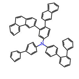 c1ccc(-c2ccc(N(c3ccc(-c4ccccc4-c4ccccc4)cc3)c3ccc(-c4ccc5ccccc5c4)c(-c4ccc5ccc6ccccc6c5c4)c3)cc2)cc1